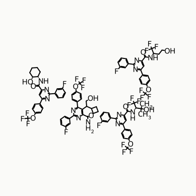 CC(C)(O)[C@@H](NC(=O)c1cc(-c2ccc(OC(F)(F)F)cc2)nc(-c2cccc(F)c2)n1)C(F)(F)F.NC(=O)c1nc(-c2cccc(F)c2)nc(-c2ccc(OC(F)(F)F)cc2)c1C(CO)C1CCC1.O=C(NC(CCO)C(F)(F)F)c1cc(-c2ccc(OC(F)(F)F)cc2)nc(-c2cccc(F)c2)n1.O=C(N[C@H]1CCCC[C@@H]1O)c1cc(-c2ccc(OC(F)(F)F)cc2)nc(-c2cccc(F)c2)n1